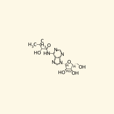 CC(C)C(O)C(=O)Nc1ncnc2c1ncn2[C@@H]1O[C@H](CO)[C@@H](O)[C@H]1O